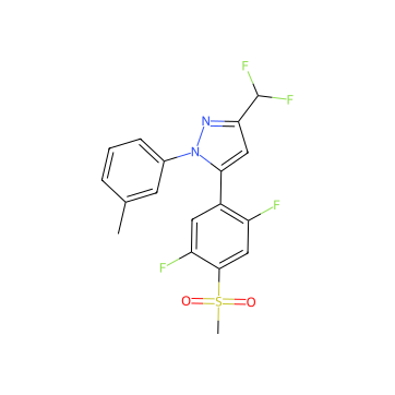 Cc1cccc(-n2nc(C(F)F)cc2-c2cc(F)c(S(C)(=O)=O)cc2F)c1